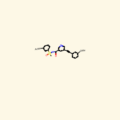 COc1cccc(C#Cc2cncc(C(=O)N=S(C)(=O)c3cccc(NC(C)=O)c3)c2)c1